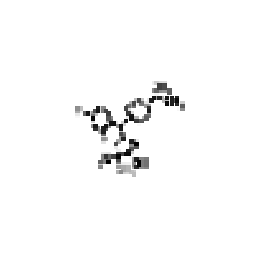 CC(C)c1ccc(/C(=C/CC(C)(N)C(=O)O)c2ccc(F)cc2F)cc1